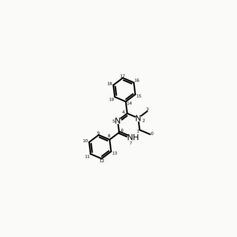 CCN(C)/C(=N\C(=N)c1ccccc1)c1ccccc1